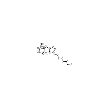 CCCCCCCCC1CCC2Cc3c(O)cccc3CC12